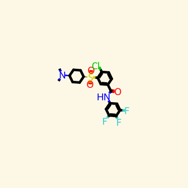 CN(C)[C@H]1CC[C@H](S(=O)(=O)c2cc(C(=O)Nc3cc(F)c(F)c(F)c3)ccc2Cl)CC1